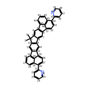 CC1(C)c2cc3c(cc2-c2cc4c(cc21)-c1cccc2c(-c5ccccn5)ccc-4c12)-c1ccc(-c2ccccn2)c2cccc-3c12